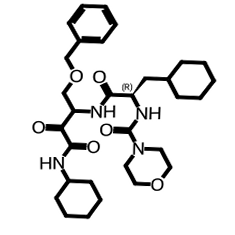 O=C(NC1CCCCC1)C(=O)C(COCc1ccccc1)NC(=O)[C@@H](CC1CCCCC1)NC(=O)N1CCOCC1